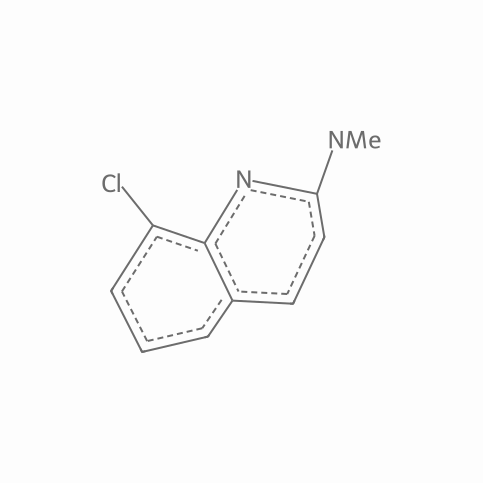 CNc1ccc2cccc(Cl)c2n1